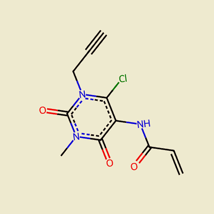 C#CCn1c(Cl)c(NC(=O)C=C)c(=O)n(C)c1=O